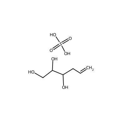 C=CCC(O)C(O)CO.O=S(=O)(O)O